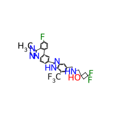 Cn1cnnc1-c1cc(F)ccc1-c1cccc(-c2nc3cc(CNCC4(O)CC(F)(F)C4)cc(C(F)(F)F)c3[nH]2)c1